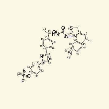 CC1C=C2CS/C(=N\C(=O)NOC(C)c3ccc(-c4ncn(-c5ccc(OC(F)(F)F)cc5)n4)cc3)N2c2cc(N(C)C)ccc21